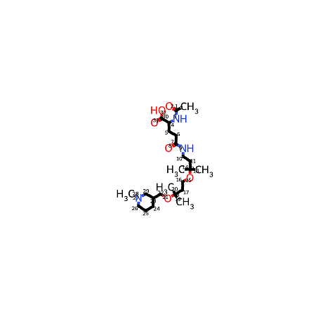 CC(=O)NC(CCC(=O)NCCC(C)(C)OCCC(C)(C)OCC1CCCN(C)C1)C(=O)O